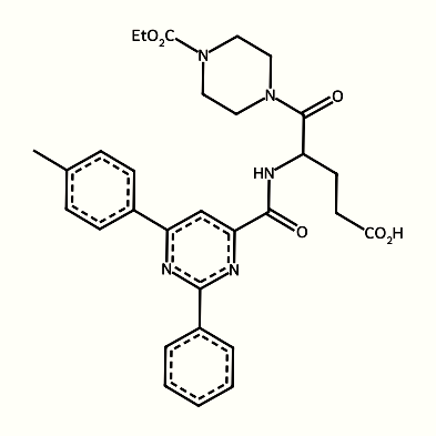 CCOC(=O)N1CCN(C(=O)C(CCC(=O)O)NC(=O)c2cc(-c3ccc(C)cc3)nc(-c3ccccc3)n2)CC1